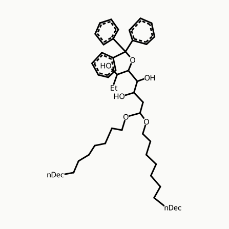 CCCCCCCCCCCCCCCCCOC(CC(O)C(O)C(OC(c1ccccc1)(c1ccccc1)c1ccccc1)C(O)CC)OCCCCCCCCCCCCCCCCC